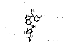 C[C@H](c1cccc(F)n1)n1ncc2ncc(Nc3cc(OC(F)F)[nH]n3)nc21